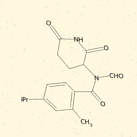 Cc1cc(C(C)C)ccc1C(=O)N(C=O)C1CCC(=O)NC1=O